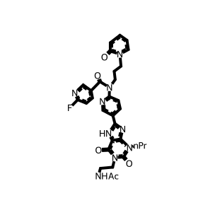 CCCn1c(=O)n(CCNC(C)=O)c(=O)c2[nH]c(-c3ccc(N(CCCn4ccccc4=O)C(=O)c4ccc(F)nc4)nc3)nc21